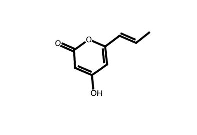 CC=Cc1cc(O)cc(=O)o1